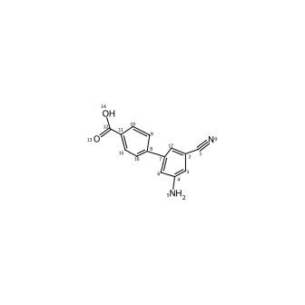 N#Cc1cc(N)cc(-c2ccc(C(=O)O)cc2)c1